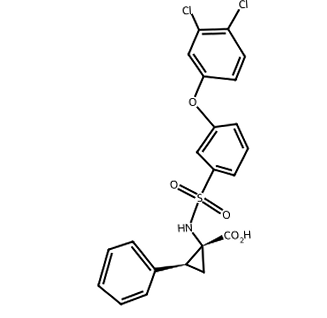 O=C(O)[C@@]1(NS(=O)(=O)c2cccc(Oc3ccc(Cl)c(Cl)c3)c2)C[C@H]1c1ccccc1